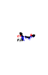 Bc1cnn2c(NCCCNC(=O)C3CCCC3)cc(-c3ccccc3O)nc12